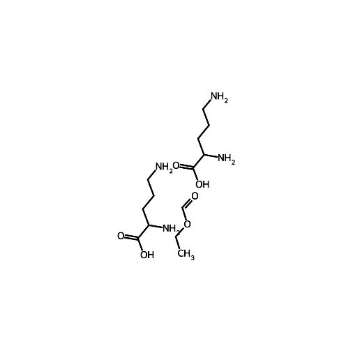 CCOC=O.NCCCC(N)C(=O)O.NCCCC(N)C(=O)O